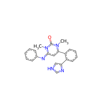 Cn1c(-c2ccccc2-c2c[nH]cn2)cc(=Nc2ccccc2)n(C)c1=O